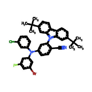 CC(C)(C)c1ccc2c3ccc(C(C)(C)C)cc3n(-c3cc(N(c4cccc(Cl)c4)c4cc(F)cc(Br)c4)ccc3C#N)c2c1